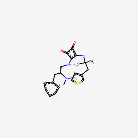 CN(C)[C@H](CNc1c(NC(C)(C)Cc2ccsc2)c(=O)c1=O)Cc1ccccc1